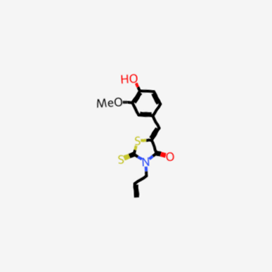 C=CCN1C(=O)C(=Cc2ccc(O)c(OC)c2)SC1=S